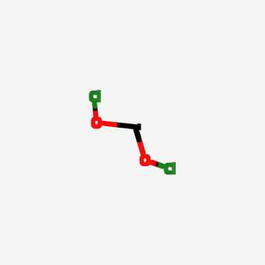 ClO[C]OCl